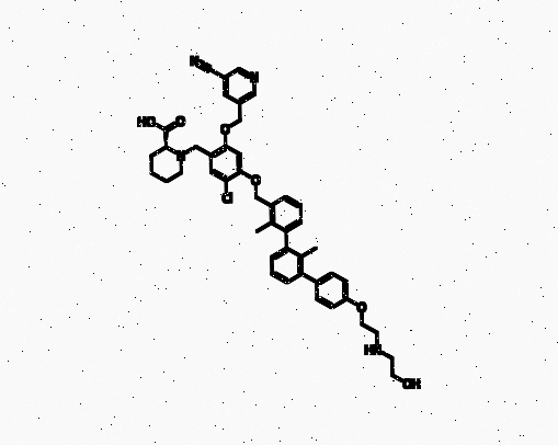 Cc1c(COc2cc(OCc3cncc(C#N)c3)c(CN3CCCC[C@H]3C(=O)O)cc2Cl)cccc1-c1cccc(-c2ccc(OCCNCCO)cc2)c1C